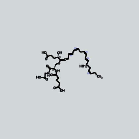 CC/C=C\C[C@H](O)/C=C/C=C\C/C=C\C=C\C=C=C(SC[C@H](NC(=O)CCCC(=O)O)C(=O)NCC(=O)O)[C@@H](O)CCC(=O)O